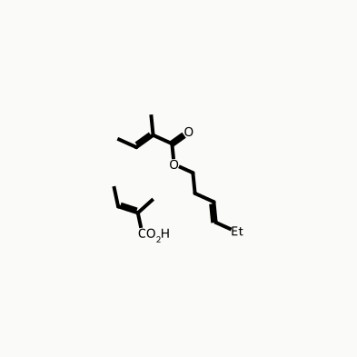 CC=C(C)C(=O)O.CC=C(C)C(=O)OCCC=CCC